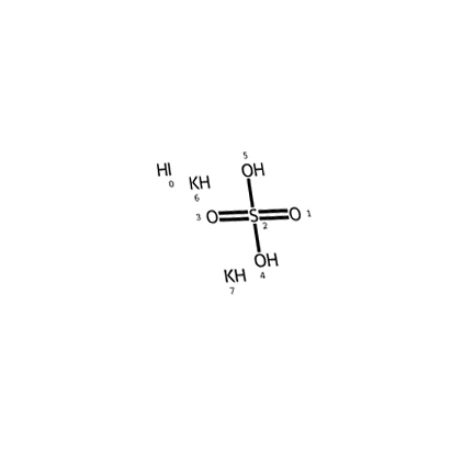 I.O=S(=O)(O)O.[KH].[KH]